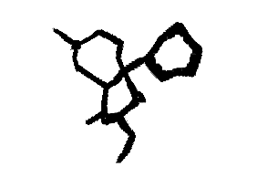 CCC(=O)O[C@]1(c2ccccc2)CCN(C)C[C@@H]1CC